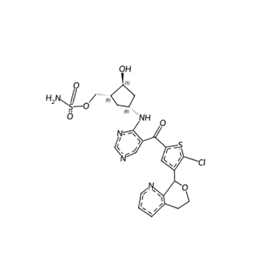 NS(=O)(=O)OC[C@H]1C[C@@H](Nc2ncncc2C(=O)c2cc(C3OCCc4cccnc43)c(Cl)s2)C[C@@H]1O